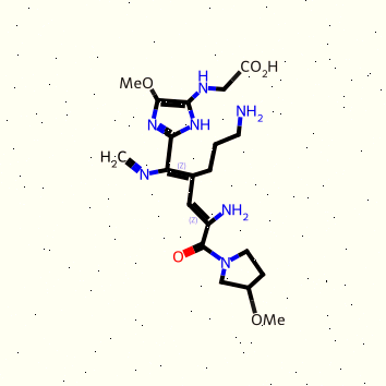 C=N/C(=C(\C=C(/N)C(=O)N1CCC(OC)C1)CCCN)c1nc(OC)c(NCC(=O)O)[nH]1